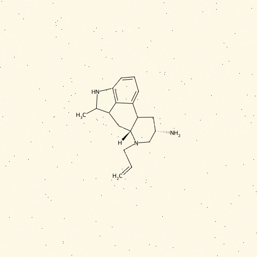 C=CCN1C[C@@H](N)CC2c3cccc4c3C(C[C@H]21)C(C)N4